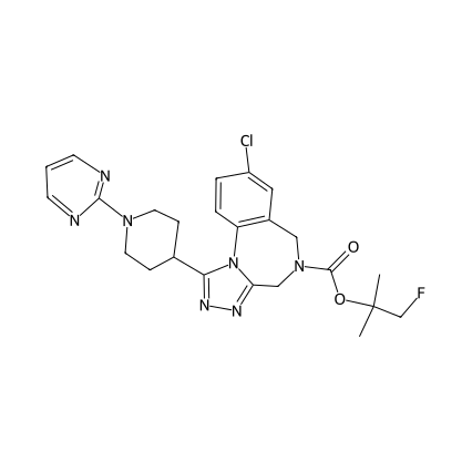 CC(C)(CF)OC(=O)N1Cc2cc(Cl)ccc2-n2c(nnc2C2CCN(c3ncccn3)CC2)C1